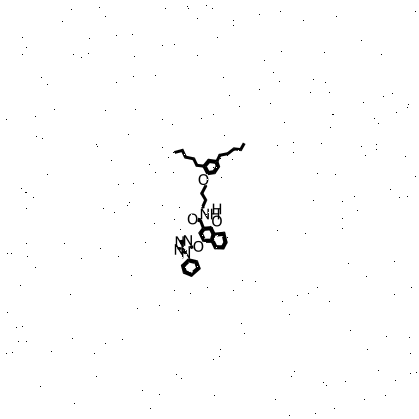 CCCCCc1ccc(OCCCCNC(=O)c2cc(Oc3nnnn3-c3ccccc3)c3ccccc3c2O)c(CCCCC)c1